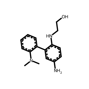 CN(C)c1ccccc1-c1cc(N)ccc1NCCO